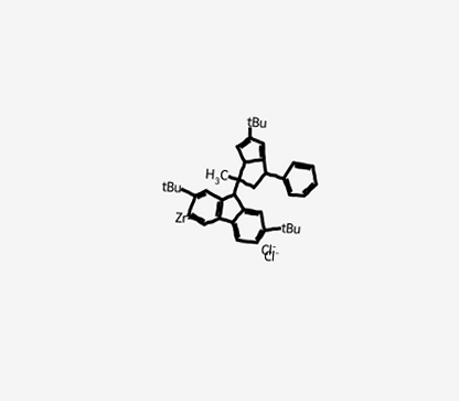 CC(C)(C)C1=CC2C(=C1)C(c1ccccc1)CC2(C)C1c2cc(C(C)(C)C)ccc2-c2ccc(C(C)(C)C)cc21.[Cl-].[Cl-].[Zr+2]